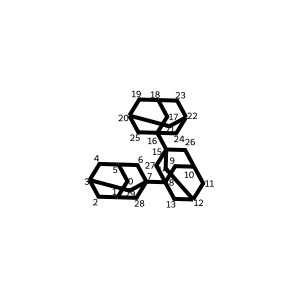 C1C2CC3CC1CC(C14CC5CC(C1)CC(C16CC7CC(CC(C7)C1)C6)(C5)C4)(C2)C3